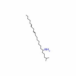 CCCCC/C=C/C/C=C/CCCCCCCC(N)CCCC(C)C